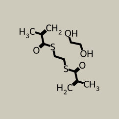 C=C(C)C(=O)SCCSC(=O)C(=C)C.OCCO